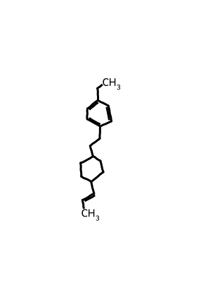 C/C=C/C1CCC(CCc2ccc(CC)cc2)CC1